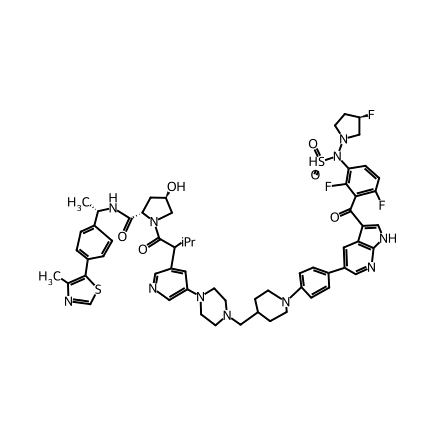 Cc1ncsc1-c1ccc([C@H](C)NC(=O)[C@@H]2C[C@@H](O)CN2C(=O)C(c2cncc(N3CCN(CC4CCN(c5ccc(-c6cnc7[nH]cc(C(=O)c8c(F)ccc(N(N9CC[C@@H](F)C9)[SH](=O)=O)c8F)c7c6)cc5)CC4)CC3)c2)C(C)C)cc1